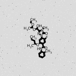 CCC[C@H](C)Oc1cc(-n2nc(C(O)OC(C)OCC)n(C)c2=O)c(F)cc1C(=O)Nc1ccccc1C